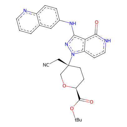 CC(C)(C)OC(=O)[C@@H]1CC[C@@](CC#N)(n2nc(Nc3ccc4ncccc4c3)c3c(=O)[nH]ccc32)CO1